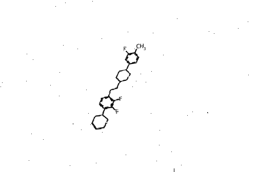 Cc1ccc(C2CCC(CCc3ccc(C4CCCCC4)c(F)c3F)CC2)cc1F